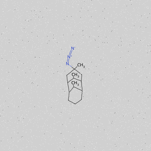 CC1C2CCCC1C1CC(C)(N=[N+]=[N-])CC2C1C